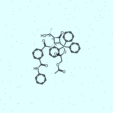 CC(=O)OCC(=O)OP(c1ccccc1)(c1ccccc1)(c1ccccc1)N1C(=O)[C@H]([C@@H](C)O)[C@H]1CC(=O)c1cccc(C(=O)Nc2ccccc2)c1